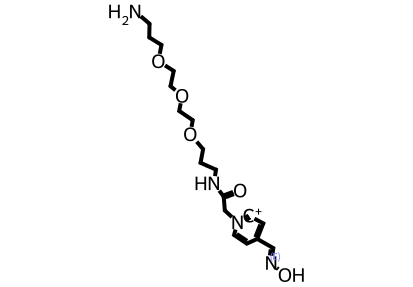 NCCCOCCOCCOCCCNC(=O)C[N+]1=[C+]C=C(/C=N/O)C=C1